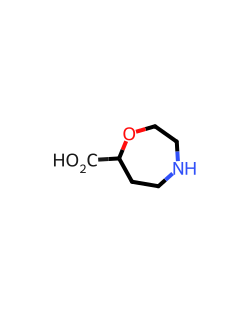 O=C(O)C1CCNCCO1